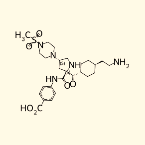 CS(=O)(=O)N1CCN([C@@H]2CN[C@](C(=O)Nc3ccc(C(=O)O)cc3)(C(=O)[C@H]3CC[C@H](CCN)CC3)C2)CC1